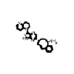 N[C@@H]1CC[C@@H](c2cnc3c(N4CCCc5ncccc54)n[nH]c3n2)C/C=C/c2ccccc21